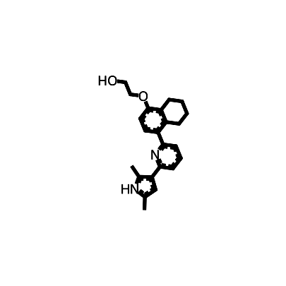 Cc1cc(-c2cccc(-c3ccc(OCCO)c4c3CCCC4)n2)c(C)[nH]1